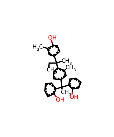 CCC(C)(c1ccc(O)c(C)c1)c1ccc(C(C)(c2ccccc2O)c2ccccc2O)cc1C